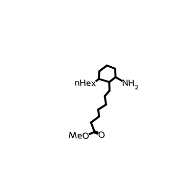 CCCCCCC1CCCC(N)C1CCCCCCC(=O)OC